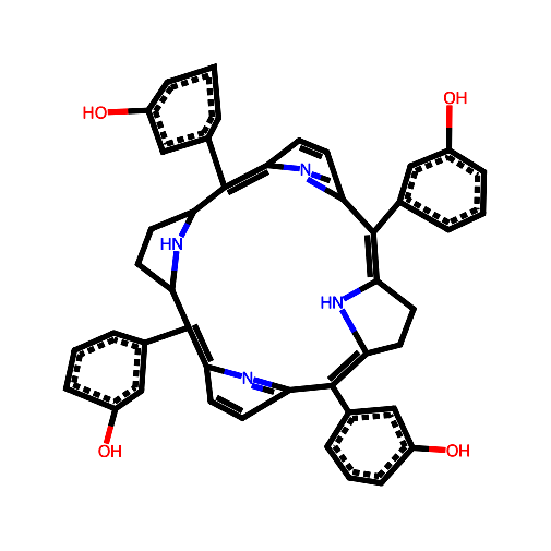 Oc1cccc(/C2=C3\CC/C(=C(\c4cccc(O)c4)C4=N/C(=C(/c5cccc(O)c5)C5CCC(N5)/C(c5cccc(O)c5)=C5/C=CC2=N5)C=C4)N3)c1